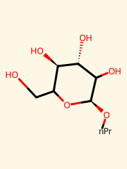 CCCO[C@H]1OC(CO)[C@@H](O)[C@H](O)C1O